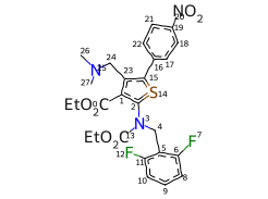 CCOC(=O)c1c(N(Cc2c(F)cccc2F)C(=O)OCC)sc(-c2ccc([N+](=O)[O-])cc2)c1CN(C)C